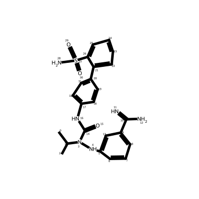 CC(C)N(Nc1cccc(C(=N)N)c1)C(=O)Nc1ccc(-c2ccccc2S(N)(=O)=O)cc1